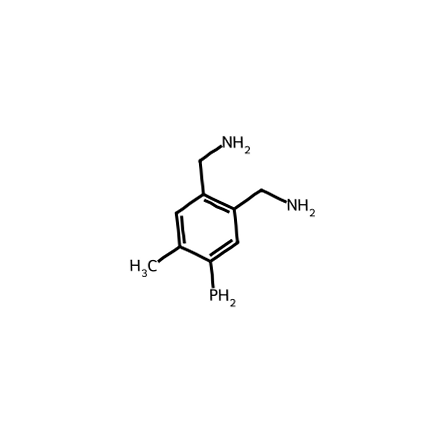 Cc1cc(CN)c(CN)cc1P